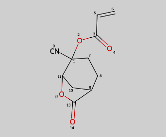 [C-]#[N+]C1(OC(=O)C=C)CCC2CC1OC2=O